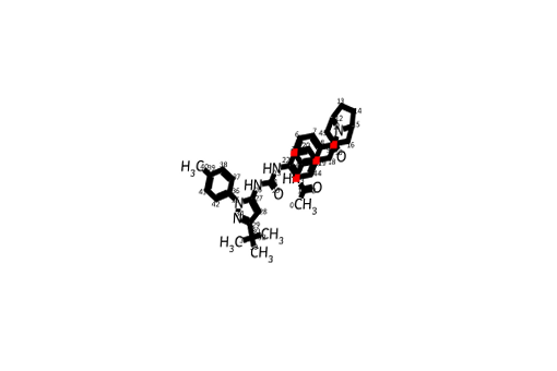 CC(=O)Nc1cccc(C(=O)N2C3CCC2CC(Cc2ccc(NC(=O)Nc4cc(C(C)(C)C)nn4-c4ccc(C)cc4)cc2)C3)c1